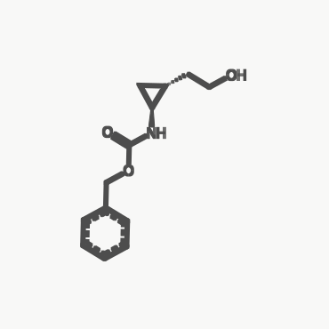 O=C(N[C@H]1C[C@@H]1CCO)OCc1ccccc1